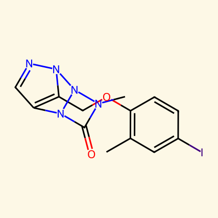 Cc1cc(I)ccc1OCc1c2cnn1n1n(C)c(=O)n21